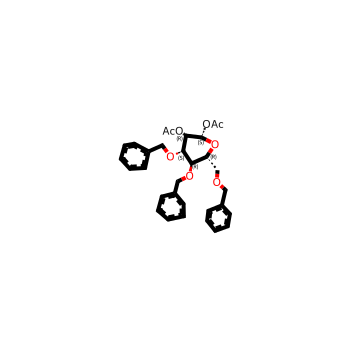 CC(=O)O[C@@H]1O[C@H](COCc2ccccc2)[C@@H](OCc2ccccc2)[C@H](OCc2ccccc2)[C@H]1OC(C)=O